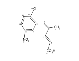 CC(C=CC(=O)O)=Cc1cc([N+](=O)[O-])ccc1Cl